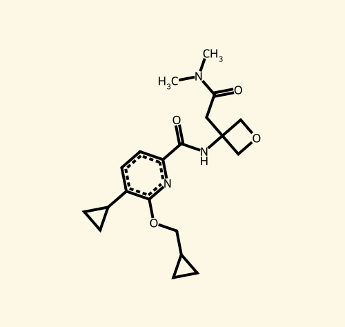 CN(C)C(=O)CC1(NC(=O)c2ccc(C3CC3)c(OCC3CC3)n2)COC1